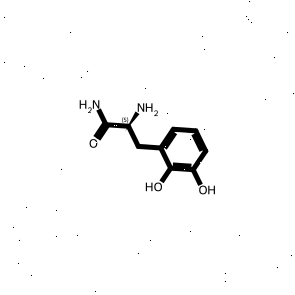 NC(=O)[C@@H](N)Cc1cccc(O)c1O